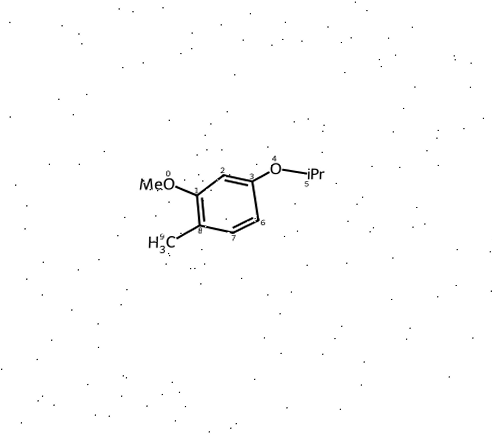 COc1cc(OC(C)C)ccc1C